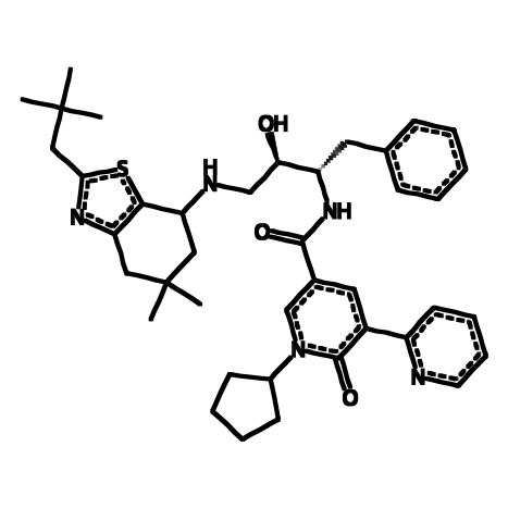 CC(C)(C)Cc1nc2c(s1)C(NC[C@@H](O)[C@H](Cc1ccccc1)NC(=O)c1cc(-c3ccccn3)c(=O)n(C3CCCC3)c1)CC(C)(C)C2